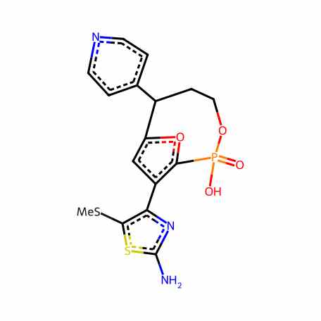 CSc1sc(N)nc1-c1cc2oc1P(=O)(O)OCCC2c1ccncc1